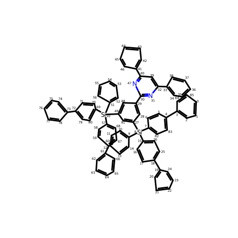 c1ccc(-c2ccc([Si](c3ccccc3)(c3ccc(-c4ccccc4)cc3)c3cc(-c4nc(-c5ccccc5)cc(-c5ccccc5)n4)cc([Si](c4ccccc4)(c4ccc(-c5ccccc5)cc4)c4ccc(-c5ccccc5)cc4)c3)cc2)cc1